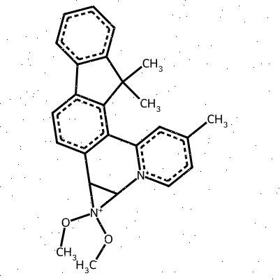 CO[N+]1(OC)C2c3ccc4c(c3-c3cc(C)cc[n+]3C21)C(C)(C)c1ccccc1-4